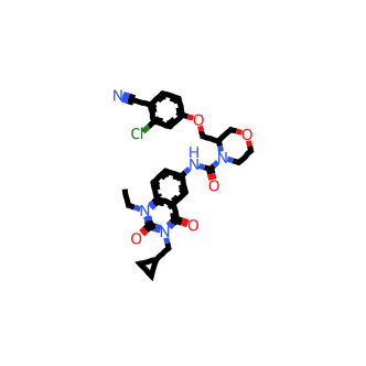 CCn1c(=O)n(CC2CC2)c(=O)c2cc(NC(=O)N3CCOCC3COc3ccc(C#N)c(Cl)c3)ccc21